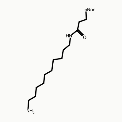 CCCCCCCCCCCC(=O)NCCCCCCCCCCN